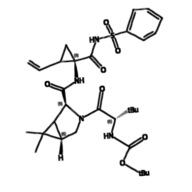 C=CC1C[C@]1(NC(=O)[C@@H]1C2[C@H](CN1C(=O)[C@@H](NC(=O)OC(C)(C)C)C(C)(C)C)C2(C)C)C(=O)NS(=O)(=O)c1ccccc1